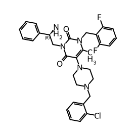 Cc1c(N2CCN(Cc3ccccc3Cl)CC2)c(=O)n(C[C@H](N)c2ccccc2)c(=O)n1Cc1c(F)cccc1F